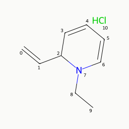 C=CC1C=CC=CN1CC.Cl